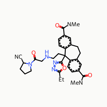 CCc1nnc(C2(CCNCC(=O)N3CCCC3C#N)c3ccc(C(=O)NC)cc3CCc3cc(C(=O)NC)ccc32)o1